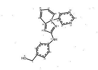 OCc1ccc(NC2=N[N+]3(c4cncnc4)C=CN=CC3=N2)cc1